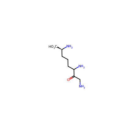 NCC(=O)C(N)CCC[C@H](N)C(=O)O